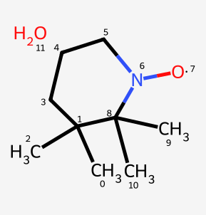 CC1(C)CCCN([O])C1(C)C.O